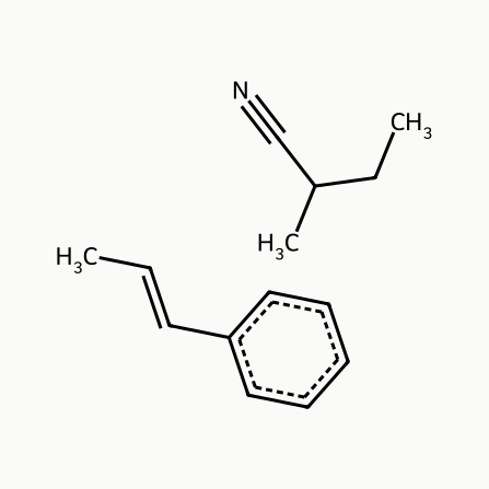 CC=Cc1ccccc1.CCC(C)C#N